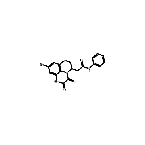 O=C(CC1CSc2cc(Br)cc3[nH]c(=O)c(=O)n1c23)Nc1ccccc1